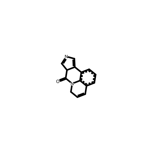 O=C1C2C=NC=C2c2cccc3c2N1CC=C3